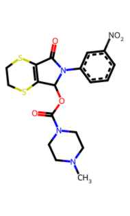 CN1CCN(C(=O)OC2C3=C(SCCS3)C(=O)N2c2cccc([N+](=O)[O-])c2)CC1